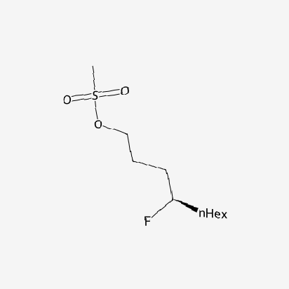 CCCCCC[C@@H](F)CCCOS(C)(=O)=O